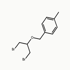 Cc1ccc(COC(CBr)CBr)cc1